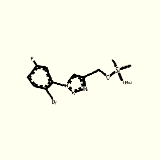 CC(C)(C)[Si](C)(C)OCc1cn(-c2cc(F)ccc2Br)nn1